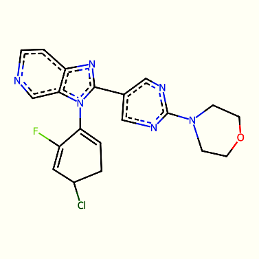 FC1=CC(Cl)CC=C1n1c(-c2cnc(N3CCOCC3)nc2)nc2ccncc21